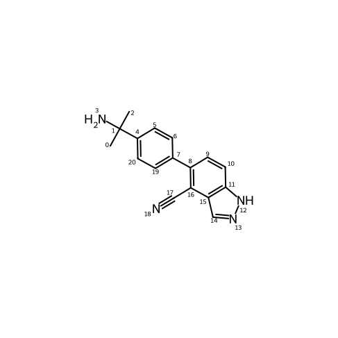 CC(C)(N)c1ccc(-c2ccc3[nH]ncc3c2C#N)cc1